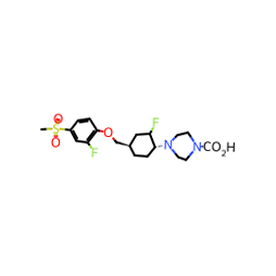 CS(=O)(=O)c1ccc(OC[C@@H]2CC[C@@H](N3CCN(C(=O)O)CC3)C(F)C2)c(F)c1